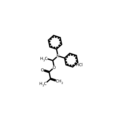 C=C(C)C(=O)OC(C)N(c1ccccc1)c1ccccc1.Cl